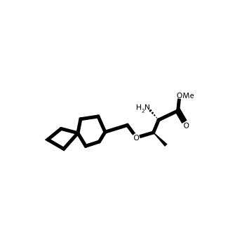 COC(=O)[C@@H](N)[C@@H](C)OCC1CCC2(CCC2)CC1